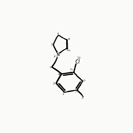 Cc1ccc(CN2CCCC2)c(Cl)c1